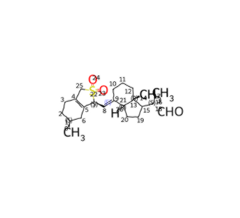 C[C@H]1CCC2=C(C1)[C@H](/C=C1\CCC[C@]3(C)C([C@H](C)C=O)CC[C@@H]13)S(=O)(=O)C2